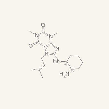 CC(C)=CCn1c(N[C@H]2CCCC[C@@H]2N)nc2c1c(=O)n(C)c(=O)n2C